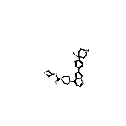 COC1(c2ccc(-c3cc4c(N5CCN(C(=O)OC6COC6)CC5)ccnn4c3)cc2)CCNCC1